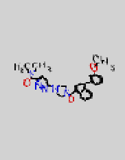 CCOc1cccc(-c2ccc(C(=O)N3CCN(c4ccc(C(=O)N(CC)CC)nn4)CC3)c3ccccc23)c1